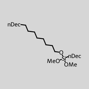 CCCCCCCCCCCCCCCCCCO[Si](CCCCCCCCCC)(OC)OC